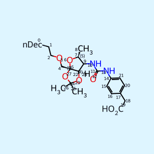 CCCCCCCCCCCCOC[C@@]12O[C@@H](C)C(NC(=O)Nc3ccc(CC(=O)O)cc3)[C@H]1OC(C)(C)O2